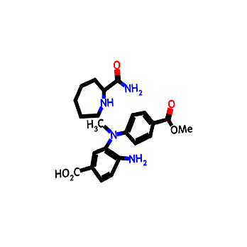 COC(=O)c1ccc(N(C)c2cc(C(=O)O)ccc2N)cc1.NC(=O)C1CCCCCN1